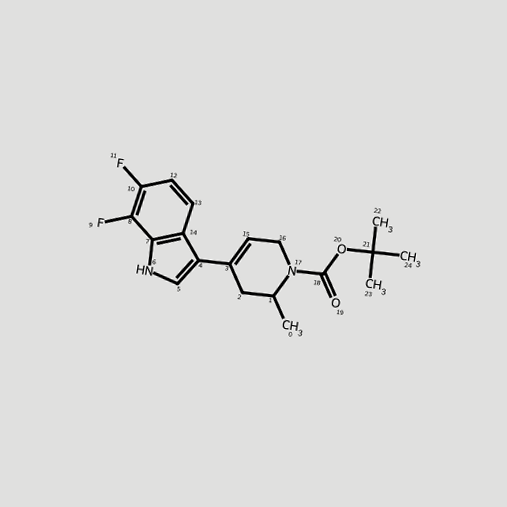 CC1CC(c2c[nH]c3c(F)c(F)ccc23)=CCN1C(=O)OC(C)(C)C